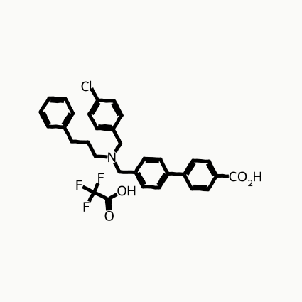 O=C(O)C(F)(F)F.O=C(O)c1ccc(-c2ccc(CN(CCCc3ccccc3)Cc3ccc(Cl)cc3)cc2)cc1